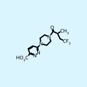 CC(CC(F)(F)F)C(=O)N1CCN(c2ccc(C(=O)O)nn2)CC1